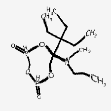 CCN(C)C1(C(CC)(CC)CC)O[PH](=O)O[PH](=O)O1